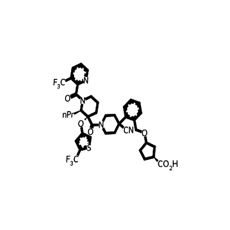 CCC[C@H]1N(C(=O)c2ncccc2C(F)(F)F)CCC[C@@]1(Oc1csc(C(F)(F)F)c1)C(=O)N1CCC(C#N)(c2ccccc2COC2CC[C@H](C(=O)O)C2)CC1